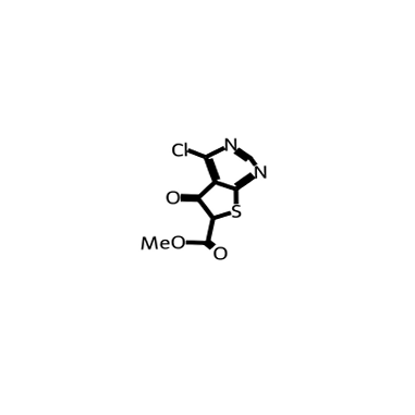 COC(=O)C1Sc2ncnc(Cl)c2C1=O